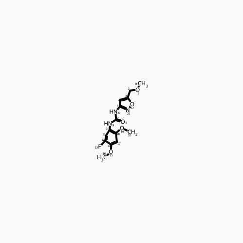 COCc1cc(NC(=O)Nc2cc(F)c(OC)cc2OC)no1